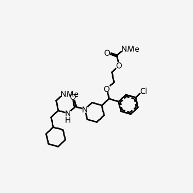 CNCC(CC1CCCCC1)NC(=O)N1CCCC(C(OCCOC(=O)NC)c2cccc(Cl)c2)C1